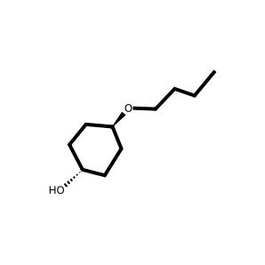 CCCCO[C@H]1CC[C@H](O)CC1